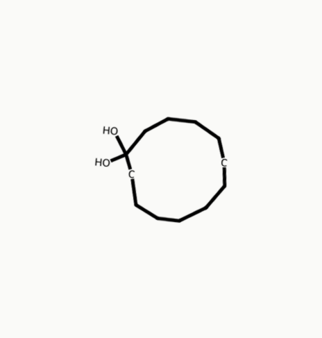 OC1(O)CCCCCCCCCCC1